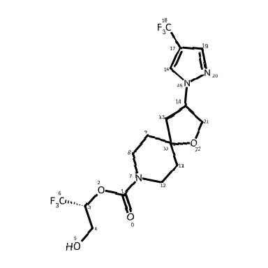 O=C(O[C@H](CO)C(F)(F)F)N1CCC2(CC1)CC(n1cc(C(F)(F)F)cn1)CO2